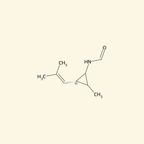 CC(C)=C[C@H]1C(C)C1NC=O